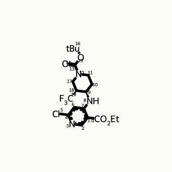 CCOC(=O)c1cnc(Cl)cc1N[C@@H]1CCN(C(=O)OC(C)(C)C)C[C@@H]1C(F)(F)F